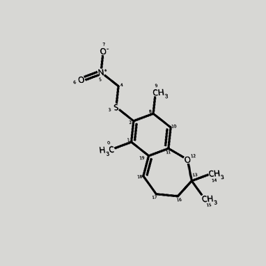 CC1=C(SC[N+](=O)[O-])C(C)C=C2OC(C)(C)CCC=C21